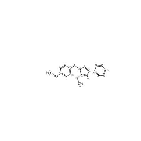 COc1ccc(Cn2cc(-c3ccccc3)nc2CO)cc1